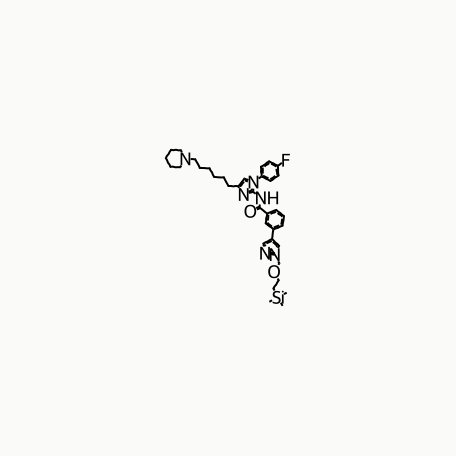 C[Si](C)(C)CCOCn1cc(-c2cccc(C(=O)Nc3nc(CCCCCCN4CCCCC4)cn3-c3ccc(F)cc3)c2)cn1